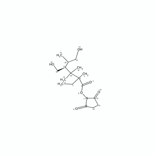 CCC(C)(C(=O)ON1C(=O)CCC1=O)C(C)(C)[C@@H](CO)C(C)CO